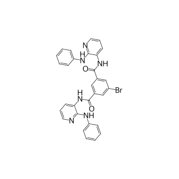 O=C(Nc1cccnc1Nc1ccccc1)c1cc(Br)cc(C(=O)Nc2cccnc2Nc2ccccc2)c1